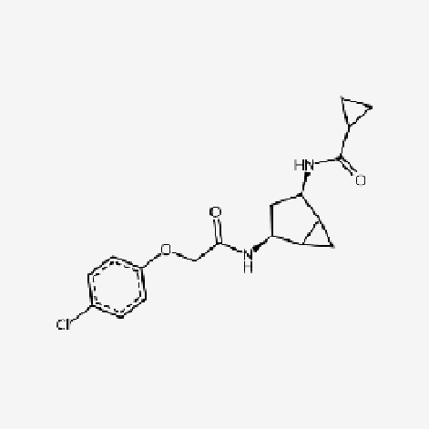 O=C(COc1ccc(Cl)cc1)N[C@H]1C[C@@H](NC(=O)C2CC2)C2CC21